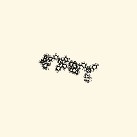 c1ccc(-c2nc(-c3cccc(-c4ccc5c(c4)Oc4cc(-c6cccc(-c7nc(-c8cccc(-c9ccc%10c(c9)Oc9ccccc9C%109c%10ccccc%10-c%10ccccc%109)c8)cc(-c8ccccc8-c8ccccc8)n7)c6)ccc4C54c5ccccc5-c5ccccc54)c3)cc(-c3ccc4ccccc4c3)n2)cc1